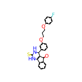 O=C1C2=C(NC(=S)NC2c2cccc(OCCCOc3ccc(F)cc3)c2)c2ccccc21